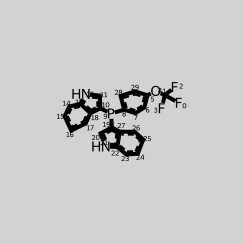 FC(F)(F)Oc1ccc(P(c2c[nH]c3ccccc23)c2c[nH]c3ccccc23)cc1